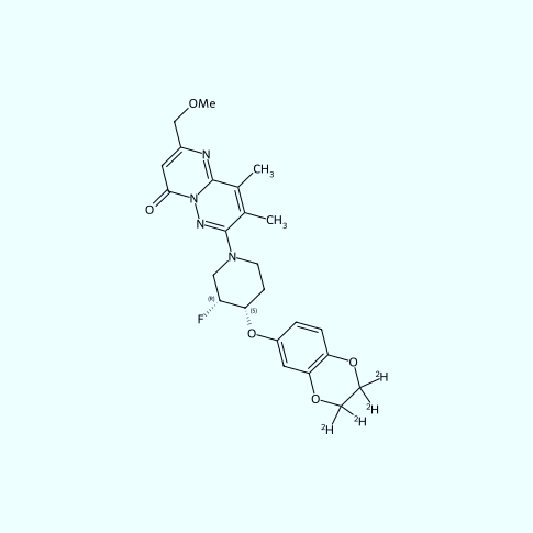 [2H]C1([2H])Oc2ccc(O[C@H]3CCN(c4nn5c(=O)cc(COC)nc5c(C)c4C)C[C@H]3F)cc2OC1([2H])[2H]